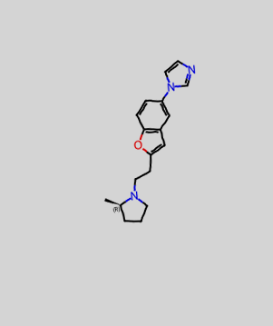 C[C@@H]1CCCN1CCc1cc2cc(-n3ccnc3)ccc2o1